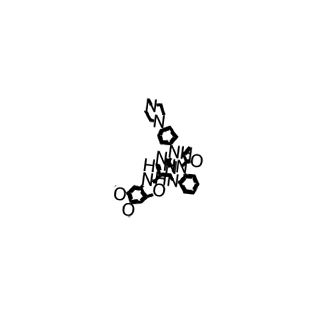 C=CC(=O)Nc1ccccc1Nc1nc(Nc2ccc(N3CCN(C)CC3)cc2)ncc1C(=O)Nc1cc(OC)c(OC)cc1C